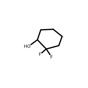 OC1CC[CH]CC1(F)F